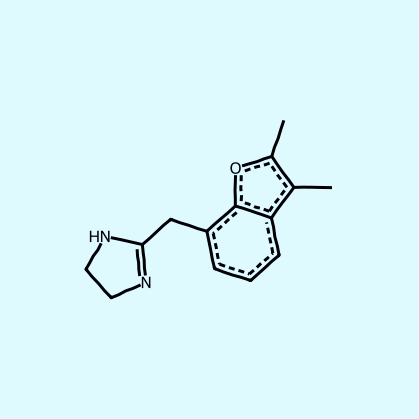 Cc1oc2c(CC3=NCCN3)cccc2c1C